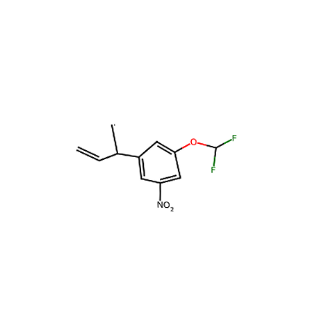 [CH2]C(C=C)c1cc(OC(F)F)cc([N+](=O)[O-])c1